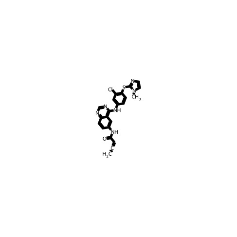 C=C=CC(=O)Nc1ccc2ncnc(Nc3ccc(Sc4nccn4C)c(Cl)c3)c2c1